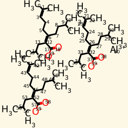 CC(C)=CCC/C(CCC(C)C)=C(\CC(C)C)C(=O)[O-].CC(C)=CCC/C(CCC(C)C)=C(\CC(C)C)C(=O)[O-].CC(C)=CCC/C(CCC(C)C)=C(\CC(C)C)C(=O)[O-].[Al+3]